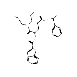 CCCN(CCC)C(=O)C(CCC(=O)OOC(C)c1ccccc1)NC(=O)c1cc2ccccc2[nH]1